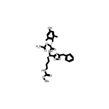 Cc1cc(O)cc(C)c1C[C@@H](OC(N)=O)C(=O)N[C@@H](CCCCNC(=O)OC(C)(C)C)c1nc(Cc2ccccc2)no1